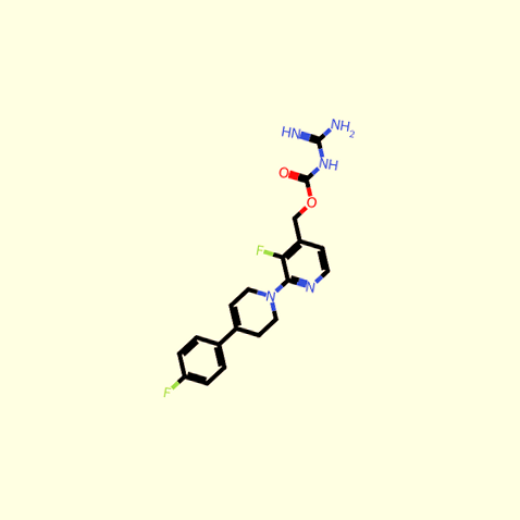 N=C(N)NC(=O)OCc1ccnc(N2CC=C(c3ccc(F)cc3)CC2)c1F